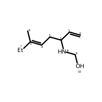 C=CC(C/C=C(\C)CC)NCO